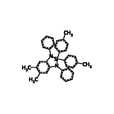 Cc1ccc([Si]2(c3ccc(C)cc3)N(c3ccccc3)c3cc(C)c(C)cc3N2c2ccccc2)cc1